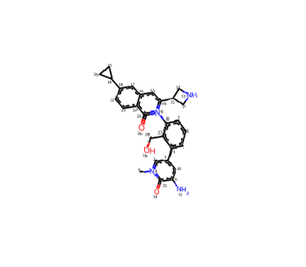 Cn1cc(-c2cccc(-n3c(C4CNC4)cc4cc(C5CC5)ccc4c3=O)c2CO)cc(N)c1=O